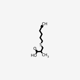 C#CCCCCSCC(C)C(=O)O